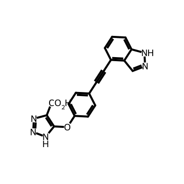 O=C(O)c1nn[nH]c1Oc1ccc(C#Cc2cccc3[nH]ncc23)cc1